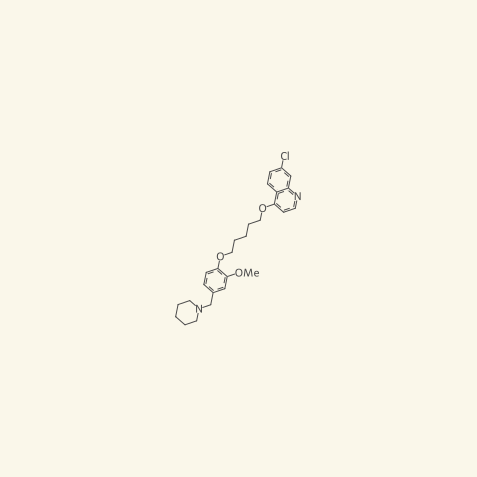 COc1cc(CN2CCCCC2)ccc1OCCCCCOc1ccnc2cc(Cl)ccc12